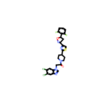 O=C(Cn1cnc2cc(Cl)c(Cl)cc21)N1CCC(c2nc(C3=NOC(c4c(F)cccc4F)C3)cs2)CC1